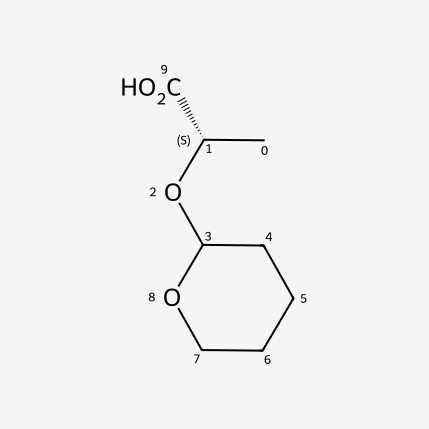 C[C@H](OC1CCCCO1)C(=O)O